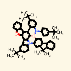 CC(C)(C)c1ccc(N2B3c4cc5c(cc4-n4c6ccc(C(C)(C)C)cc6c6c7oc8ccccc8c7c(c3c64)-c3cc(C(C)(C)C)ccc32)C(C)(C)c2ccccc2-5)cc1